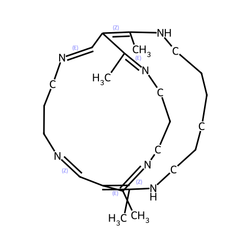 C\C1=N\CCC/N=C(C)/C2=C(/C)NCCCCCCN/C(C)=C1\C=N/CCC\N=C\2